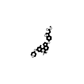 COC(=O)CC1COc2cc(O[C@@H]3CCc4c3ccc(C(F)(F)F)c4-c3c(C)cc(OC4CCOCC4)cc3C)ccc21